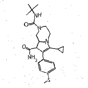 CSc1ccc(C2=C(C3CC3)N3CCN(C(=O)NC(C)(C)C)CC3C2C(N)=O)cc1